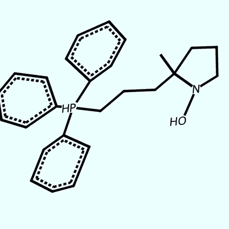 CC1(CCC[PH](c2ccccc2)(c2ccccc2)c2ccccc2)CCCN1O